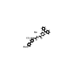 COc1ccc(-c2ccc(NC(=O)COCC(=O)N3CCN(C(c4ccccc4)c4ccccc4)CC3)c(C(=O)O)c2)cc1.[Na]